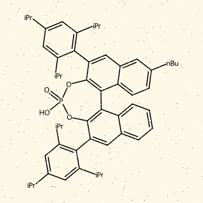 CCCCc1ccc2c3c(c(-c4c(C(C)C)cc(C(C)C)cc4C(C)C)cc2c1)OP(=O)(O)Oc1c(-c2c(C(C)C)cc(C(C)C)cc2C(C)C)cc2ccccc2c1-3